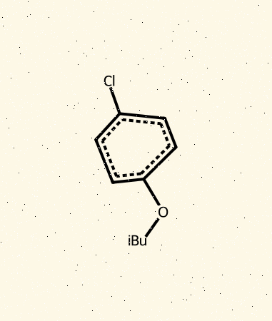 CCC(C)Oc1ccc(Cl)cc1